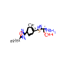 CCCCCCc1nc(-c2ccc(-c3nnc([C@@](C)(N)CO)s3)c(C(F)(F)F)c2)no1